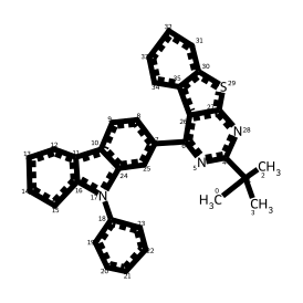 CC(C)(C)c1nc(-c2ccc3c4ccccc4n(-c4ccccc4)c3c2)c2c(n1)sc1ccccc12